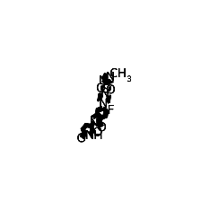 Cn1cnc(S(=O)(=O)N2CCN(c3cc4c(cc3F)C(=O)N(C3CCC(=O)NC3=O)C4)CC2)c1